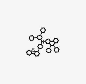 c1ccc(-c2cc(-c3ccccc3)cc(N(c3ccc(-c4cccc5c4sc4ccccc45)cc3)c3ccc4c(c3)c(-c3ccccc3)c(-c3ccccc3)c3ccccc34)c2)cc1